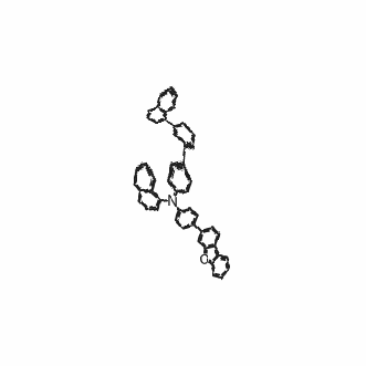 c1cc(-c2ccc(N(c3ccc(-c4ccc5c(c4)oc4ccccc45)cc3)c3cccc4ccccc34)cc2)cc(-c2cccc3ccccc23)c1